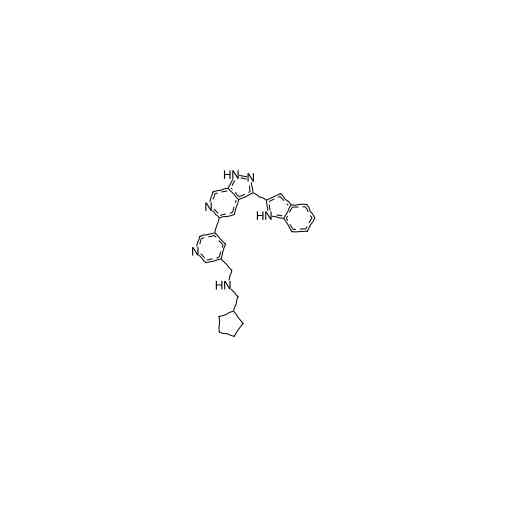 c1ccc2[nH]c(-c3n[nH]c4cnc(-c5cncc(CNCC6CCCC6)c5)cc34)cc2c1